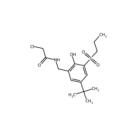 CCCS(=O)(=O)c1cc(C(C)(C)C)cc(CNC(=O)CCl)c1O